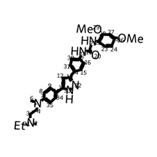 CCN(C)CCN(C)c1ccc(-c2cc(-c3ccc(NC(=O)Nc4ccc(OC)cc4OC)cc3)n[nH]2)cc1